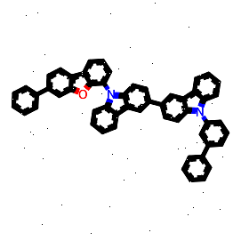 c1ccc(-c2cccc(-n3c4ccccc4c4cc(-c5ccc6c(c5)c5ccccc5n6-c5cccc6c5oc5cc(-c7ccccc7)ccc56)ccc43)c2)cc1